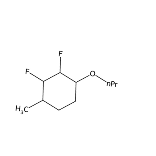 CCCOC1CCC(C)C(F)C1F